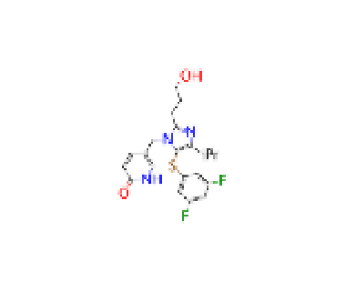 CC(C)c1nc(CCCO)n(Cc2ccc(=O)[nH]c2)c1Sc1cc(F)cc(F)c1